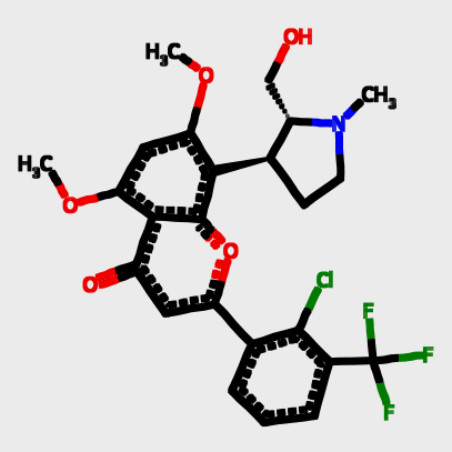 COc1cc(OC)c2c(=O)cc(-c3cccc(C(F)(F)F)c3Cl)oc2c1[C@@H]1CCN(C)[C@H]1CO